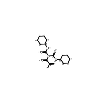 C=C(C)C(=O)N(C(=O)OC1CCCCC1)C(=O)OC1CCCCC1